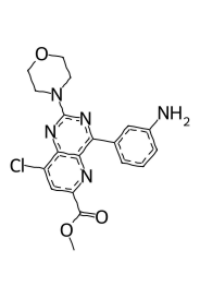 COC(=O)c1cc(Cl)c2nc(N3CCOCC3)nc(-c3cccc(N)c3)c2n1